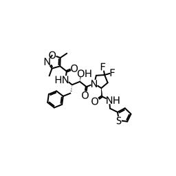 Cc1noc(C)c1C(=O)N[C@@H](Cc1ccccc1)[C@H](O)C(=O)N1CC(F)(F)C[C@H]1C(=O)NCc1cccs1